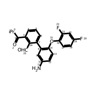 CC(C)C(=O)c1cccc(-c2cc(N)ccc2Oc2ccc(F)cc2F)c1C=O